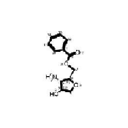 N[C@H]1[C@H](O)CO[C@@H]1COC(=O)c1ccccc1